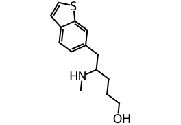 CNC(CCCO)Cc1ccc2ccsc2c1